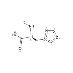 CN[C@@H](Cc1cocn1)C(=O)O